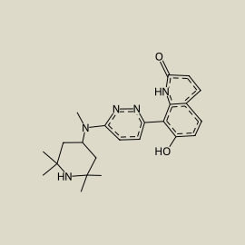 CN(c1ccc(-c2c(O)ccc3ccc(=O)[nH]c23)nn1)C1CC(C)(C)NC(C)(C)C1